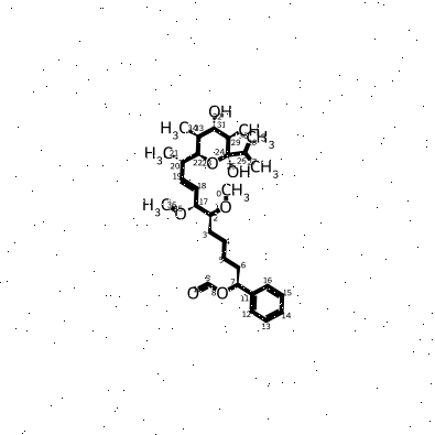 CO[C@@H](CCCC[C@H](OC=O)c1ccccc1)[C@@H](/C=C/[C@H](C)[C@@H]1O[C@](O)(C(C)C)[C@H](C)[C@@H](O)[C@@H]1C)OC